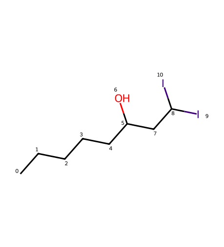 CCCCCC(O)CC(I)I